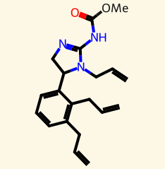 C=CCc1cccc(C2CN=C(NC(=O)OC)N2CC=C)c1CC=C